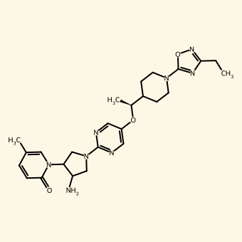 CCc1noc(N2CCC([C@H](C)Oc3cnc(N4CC(N)C(n5cc(C)ccc5=O)C4)nc3)CC2)n1